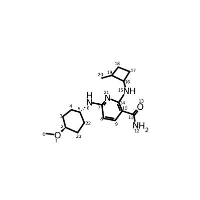 CO[C@H]1CC[C@H](Nc2ccc(C(N)=O)c(NC3CCC3C)n2)CC1